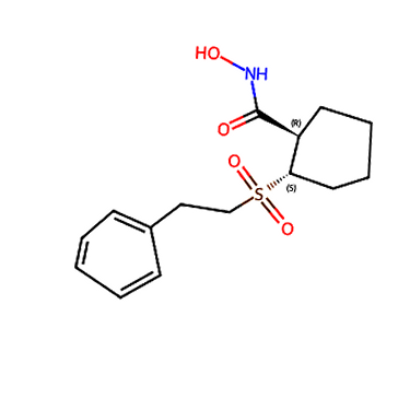 O=C(NO)[C@H]1CCCC[C@@H]1S(=O)(=O)CCc1ccccc1